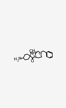 CNC1(C(=O)N2CCN(Cc3ccccc3)CC2)CCC(N)CC1